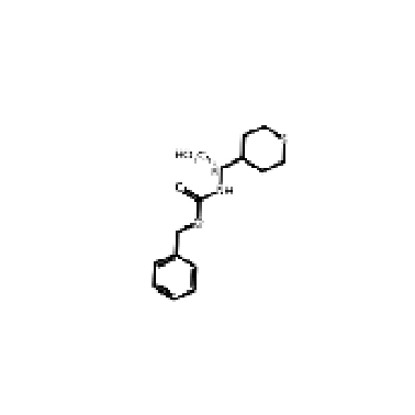 O=C(N[C@H](C(=O)O)C1CCSCC1)OCc1ccccc1